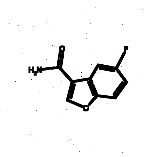 NC(=O)c1coc2ccc(F)cc12